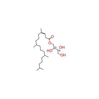 CC(=CCC(=O)OC[C@H](O)[C@H](O)CO)CCCC(C)CCCC(C)CCCC(C)C